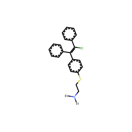 CCN(CC)CCSc1ccc(C(=C(Cl)c2ccccc2)c2ccccc2)cc1